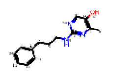 Cc1nc(NCCCc2ccccc2)ncc1O